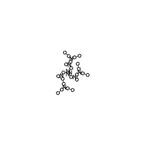 c1ccc(-c2ccc(N(c3ccc(-c4ccccc4)cc3)c3ccc(-c4ccc5c(c4)c4ccccc4n5-c4cccc(-c5nc(-c6cccc(-n7c8ccccc8c8cc(N(c9ccc(-c%10ccccc%10)cc9)c9ccc(-c%10ccccc%10)cc9)ccc87)c6)nc(-c6cccc(-n7c8ccccc8c8cc(N(c9ccc(-c%10ccccc%10)cc9)c9ccc(-c%10ccccc%10)cc9)ccc87)c6)n5)c4)cc3)cc2)cc1